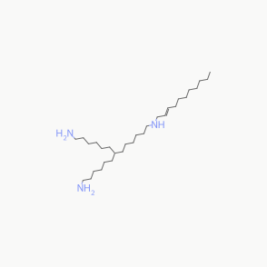 CCCCCCCCC=CCNCCCCCCC(CCCCCCN)CCCCCCN